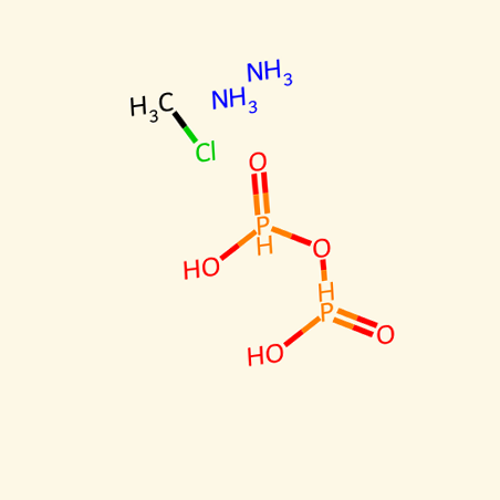 CCl.N.N.O=[PH](O)O[PH](=O)O